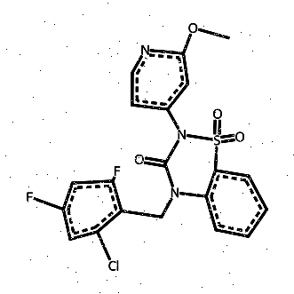 COc1cc(N2C(=O)N(Cc3c(F)cc(F)cc3Cl)c3ccccc3S2(=O)=O)ccn1